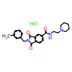 Cc1cccc(CN2C(=O)c3ccc(C(=O)NCCN4CCCCC4)cc3C2=O)c1.Cl